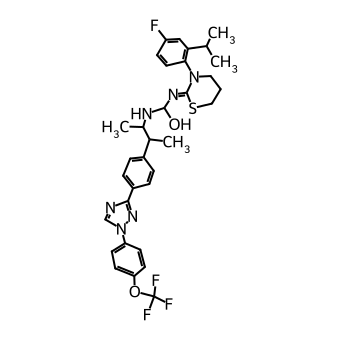 CC(C)c1cc(F)ccc1N1CCCS/C1=N\C(O)NC(C)C(C)c1ccc(-c2ncn(-c3ccc(OC(F)(F)F)cc3)n2)cc1